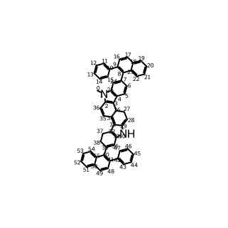 Cn1c2c(c3ccc(-c4c(-c5ccccc5)ccc5ccccc45)cc31)C1CC=c3[nH]c4c(c3=C1C=C2)CCC(c1c(-c2ccccc2)ccc2ccccc12)=C4